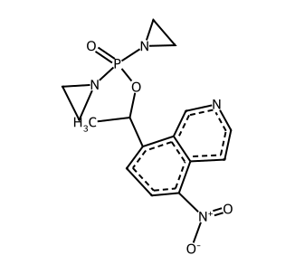 CC(OP(=O)(N1CC1)N1CC1)c1ccc([N+](=O)[O-])c2ccncc12